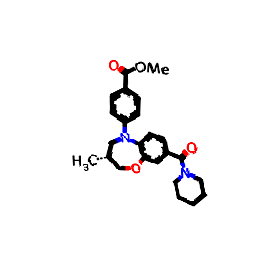 COC(=O)c1ccc(N2C[C@@H](C)COc3cc(C(=O)N4CCCCC4)ccc32)cc1